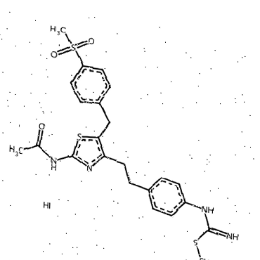 CSC(=N)Nc1ccc(CCc2nc(NC(C)=O)sc2Cc2ccc(S(C)(=O)=O)cc2)cc1.I